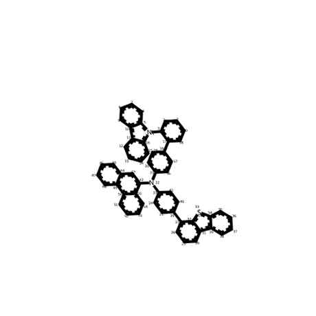 c1ccc(-n2c3ccccc3c3ccccc32)c(-c2ccc(N(c3ccc(-c4cccc5c4sc4ccccc45)cc3)c3cc4ccccc4c4ccccc34)cc2)c1